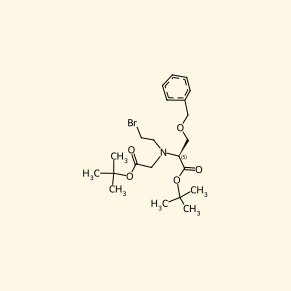 CC(C)(C)OC(=O)CN(CCBr)[C@@H](COCc1ccccc1)C(=O)OC(C)(C)C